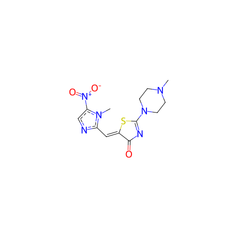 CN1CCN(C2=NC(=O)/C(=C/c3ncc([N+](=O)[O-])n3C)S2)CC1